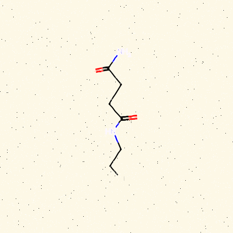 NC(=O)CCC(=O)NCCC(F)(F)F